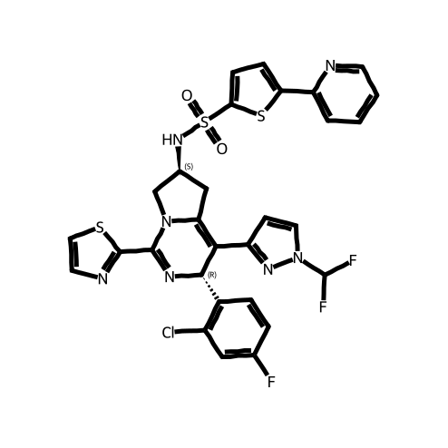 O=S(=O)(N[C@H]1CC2=C(c3ccn(C(F)F)n3)[C@H](c3ccc(F)cc3Cl)N=C(c3nccs3)N2C1)c1ccc(-c2ccccn2)s1